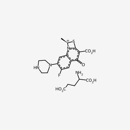 C[C@H]1Sc2c(C(=O)O)c(=O)c3cc(F)c(N4CCNCC4)cc3n21.NC(CCC(=O)O)C(=O)O